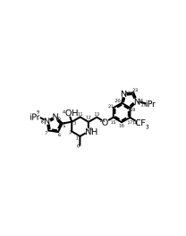 CC1CC(O)(c2ccn(C(C)C)n2)CC(COc2cc(C(F)(F)F)c3c(c2)ncn3C(C)C)N1